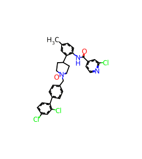 Cc1ccc(NC(=O)c2ccnc(Cl)c2)c(C2CC[N+]([O-])(Cc3ccc(-c4ccc(Cl)cc4Cl)cc3)CC2)c1